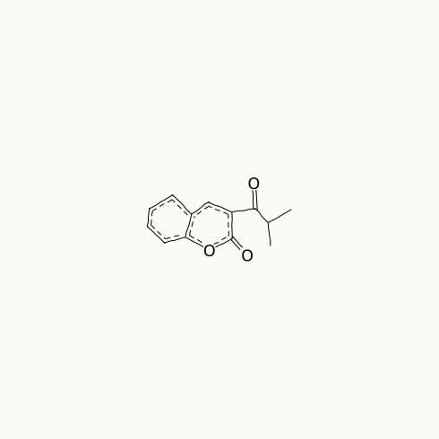 CC(C)C(=O)c1cc2ccccc2oc1=O